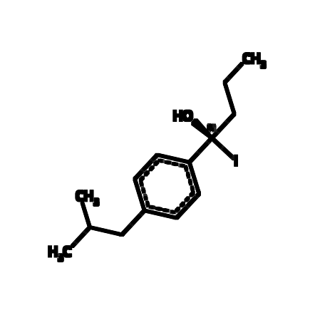 CCC[C@](O)(I)c1ccc(CC(C)C)cc1